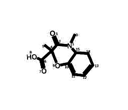 CN1C(=O)C(C)(C(=O)O)OC2=CC=CCC21